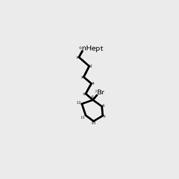 CCCCCCCCCCCCC1(Br)CCCCC1